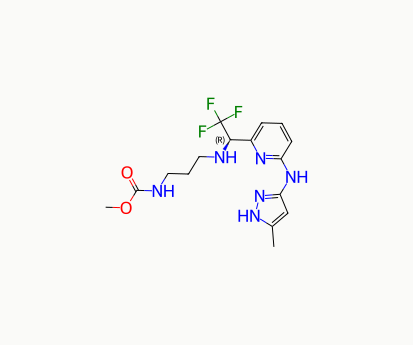 COC(=O)NCCCN[C@H](c1cccc(Nc2cc(C)[nH]n2)n1)C(F)(F)F